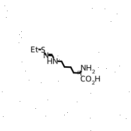 CCSN=CNCCCC[C@H](N)C(=O)O